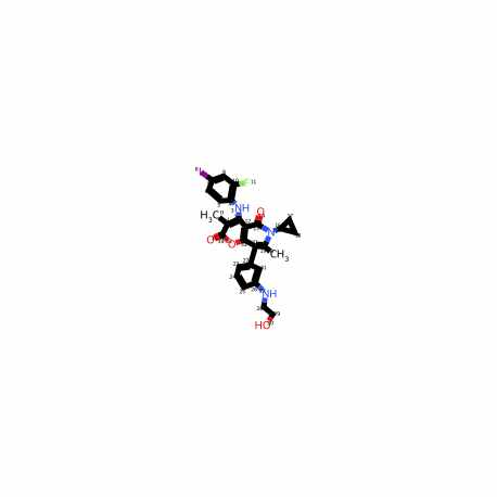 Cc1c(Nc2ccc(I)cc2F)c2c(=O)n(C3CC3)c(C)c(-c3cccc(NCCO)c3)c2oc1=O